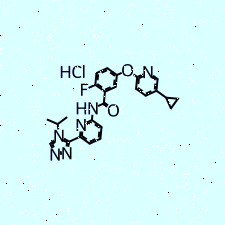 CC(C)n1cnnc1-c1cccc(NC(=O)c2cc(Oc3ccc(C4CC4)cn3)ccc2F)n1.Cl